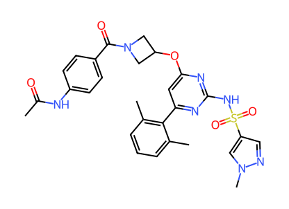 CC(=O)Nc1ccc(C(=O)N2CC(Oc3cc(-c4c(C)cccc4C)nc(NS(=O)(=O)c4cnn(C)c4)n3)C2)cc1